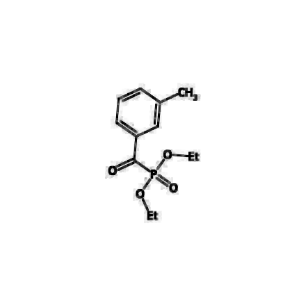 CCOP(=O)(OCC)C(=O)c1cccc(C)c1